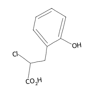 O=C(O)C(Cl)Cc1ccccc1O